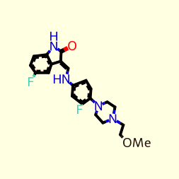 COCCN1CCN(c2ccc(N/C=C3/C(=O)Nc4ccc(F)cc43)cc2F)CC1